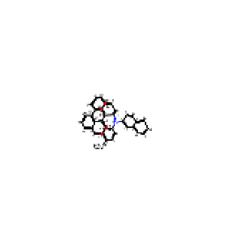 CC(C)(C)c1ccc(N(c2ccc3ccccc3c2)c2ccccc2-c2cccc3cccc(-c4ccccc4)c23)cc1